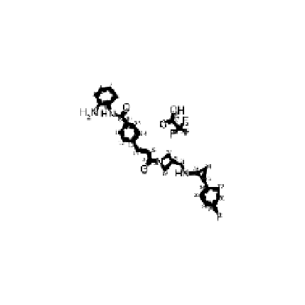 Nc1ccccc1NC(=O)c1ccc(/C=C/C(=O)N2CC(CNC3CC3c3ccc(F)cc3)C2)cc1.O=C(O)C(F)(F)F